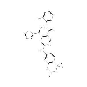 CN1Cc2cc(Nc3ncc4c(=O)n(-c5ccccc5Cl)nc(-c5cccs5)c4n3)ccc2C2(CC2)C1